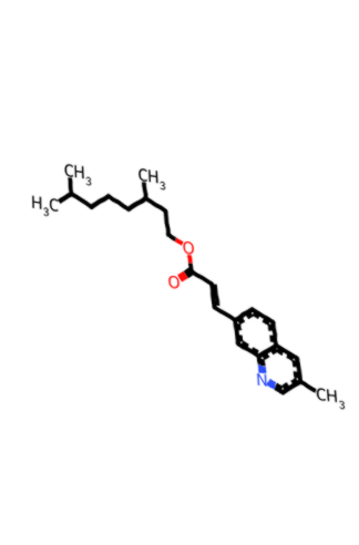 Cc1cnc2cc(/C=C/C(=O)OCCC(C)CCCC(C)C)ccc2c1